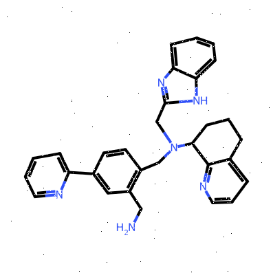 NCc1cc(-c2ccccn2)ccc1CN(Cc1nc2ccccc2[nH]1)C1CCCc2cccnc21